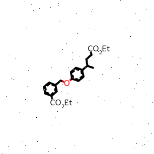 CCOC(=O)CCC(C)c1ccc(OCc2cccc(C(=O)OCC)c2)cc1